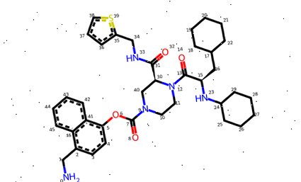 NCc1ccc(OC(=O)N2CCN(C(=O)[C@@H](CC3CCCCC3)NC3CCCCC3)[C@H](C(=O)NCc3cccs3)C2)c2ccccc12